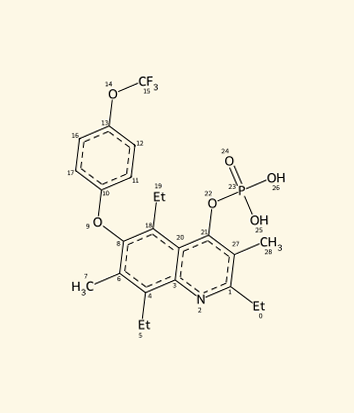 CCc1nc2c(CC)c(C)c(Oc3ccc(OC(F)(F)F)cc3)c(CC)c2c(OP(=O)(O)O)c1C